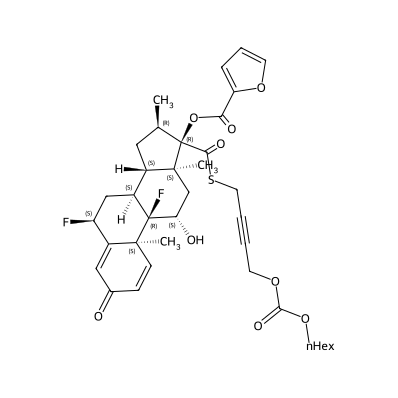 CCCCCCOC(=O)OCC#CCSC(=O)[C@@]1(OC(=O)c2ccco2)[C@H](C)C[C@H]2[C@@H]3C[C@H](F)C4=CC(=O)C=C[C@]4(C)[C@@]3(F)[C@@H](O)C[C@@]21C